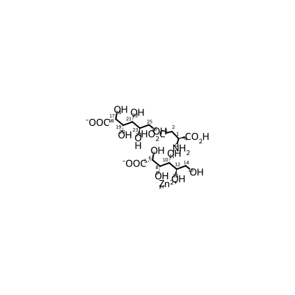 N[C@@H](CC(=O)O)C(=O)O.O=C([O-])[C@H](O)[C@@H](O)[C@H](O)[C@H](O)CO.O=C([O-])[C@H](O)[C@@H](O)[C@H](O)[C@H](O)CO.[Zn+2]